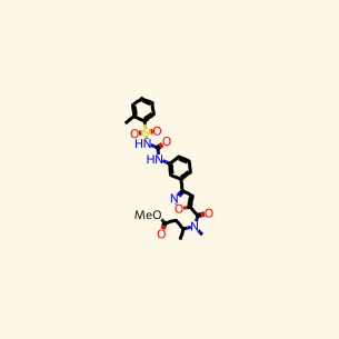 COC(=O)CC(C)N(C)C(=O)c1cc(-c2cccc(NC(=O)NS(=O)(=O)c3ccccc3C)c2)no1